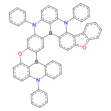 c1ccc(N2c3ccccc3B3c4cc5c(cc4Oc4cccc2c43)N(c2ccccc2)c2cccc3c2B5c2ccc4oc5ccccc5c4c2N3c2ccccc2)cc1